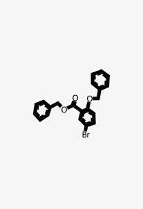 O=C(OCc1ccccc1)c1cc(Br)ccc1OCc1ccccc1